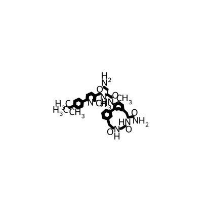 Cc1cc2cc(c1NC(=O)[C@H](CCN)NC(=O)c1ccc(-c3ccc(C(C)(C)C)cc3)nc1C)-c1cccc(c1)CC(=O)NCC(=O)NC(C(N)=O)C2